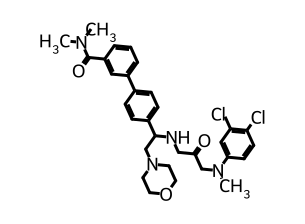 CN(C)C(=O)c1cccc(-c2ccc(C(CN3CCOCC3)NCC(=O)CN(C)c3ccc(Cl)c(Cl)c3)cc2)c1